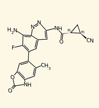 Cc1cc2[nH]c(=O)oc2cc1-c1cc2cc(NC(=O)[C@@H]3C[C@H]3C#N)nnc2c(N)c1F